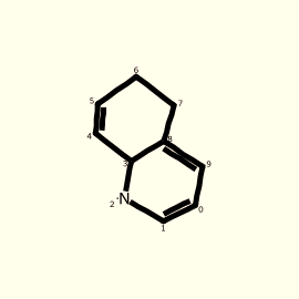 C1=C[N]C2C=CCCC2=C1